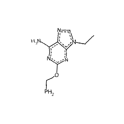 CCn1cnc2c(N)nc(OCP)nc21